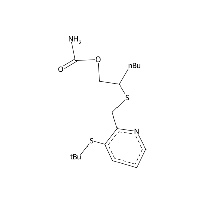 CCCCC(COC(N)=O)SCc1ncccc1SC(C)(C)C